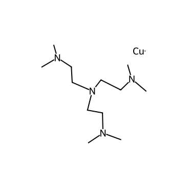 CN(C)CCN(CCN(C)C)CCN(C)C.[Cu]